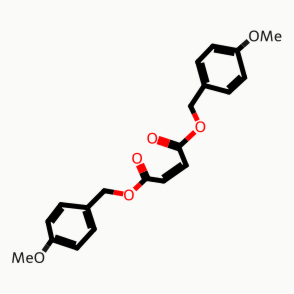 COc1ccc(COC(=O)/C=C\C(=O)OCc2ccc(OC)cc2)cc1